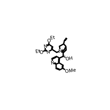 C=CC1C[N+]2(Cc3cc(OCC)nc(OCC)n3)CCC1CC2[C@@H](O)c1ccnc2ccc(OC)cc12